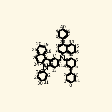 c1ccc(-c2cccc(N(c3ccc4c(c3)c3c5ccccc5ccc3n4-c3ccccc3)c3ccc(-c4ccccc4)c4ccccc34)c2)cc1